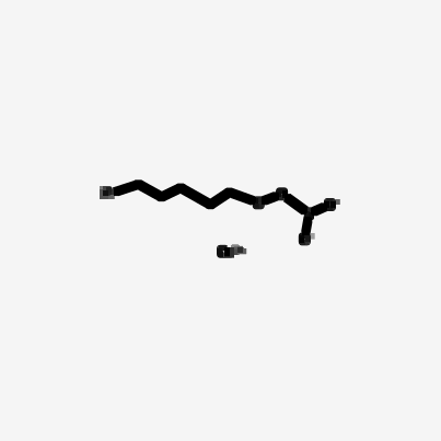 CC(C)CCCCCOOB([O-])[O-].[Cu+2]